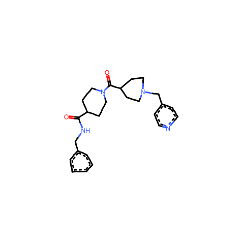 O=C(NCc1ccccc1)C1CCN(C(=O)C2CCN(Cc3ccncc3)CC2)CC1